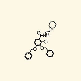 O=C(NCCN1CCCCC1)c1ccc(OCc2ccccc2)c(OCc2ccccc2)c1Cl